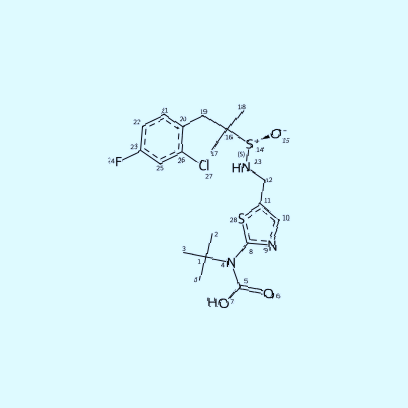 CC(C)(C)N(C(=O)O)c1ncc(CN[S@+]([O-])C(C)(C)Cc2ccc(F)cc2Cl)s1